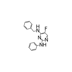 Fc1cnc(Nc2ccccc2)nc1NCc1ccccc1